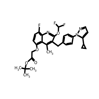 Cc1c(Cc2ccc(-n3nccc3C3CC3)cc2)c(OC(F)F)nc2c(F)ccc(OCC(=O)OC(C)(C)C)c12